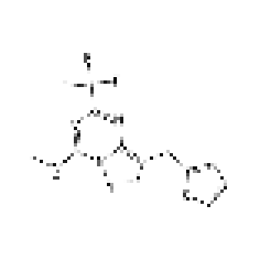 CNc1nc(C(F)(F)F)nc2c(Cc3cccs3)cnn12